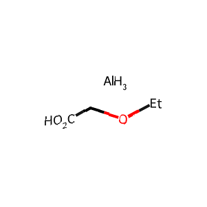 CCOCC(=O)O.[AlH3]